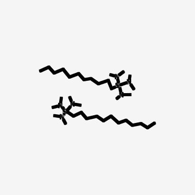 CCCCCCCCCCCC[Si](N(C)C)(N(C)C)N(C)C.CCCCCCCCCCC[Si](N(C)C)(N(C)C)N(C)C